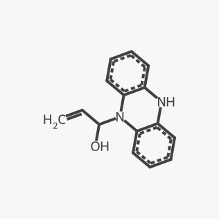 C=CC(O)N1c2ccccc2Nc2ccccc21